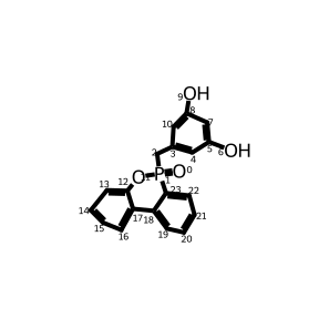 O=P1(Cc2cc(O)cc(O)c2)Oc2ccccc2-c2ccccc21